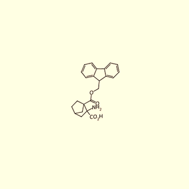 NC1(C(=O)O)CC2CCC1(C(=O)OCC1c3ccccc3-c3ccccc31)C2